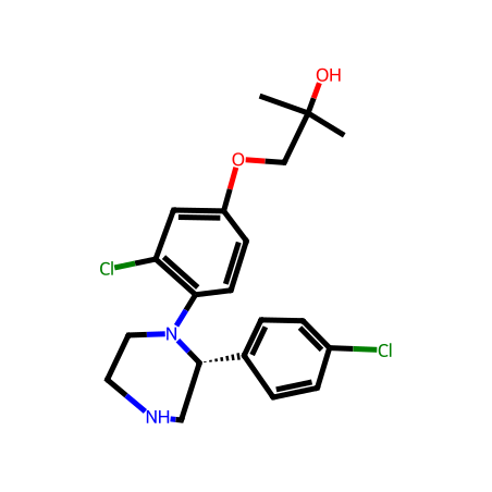 CC(C)(O)COc1ccc(N2CCNC[C@H]2c2ccc(Cl)cc2)c(Cl)c1